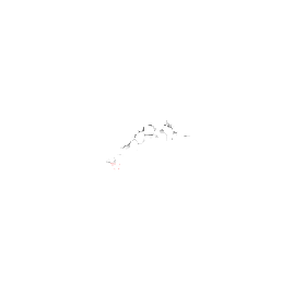 C=CCc1ccc(-c2ccc3cc(/C=C/CCCC(C)O)ccc3c2)cc1